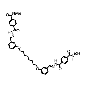 CNC(=O)c1ccc(C(=O)N/N=C/c2cccc(OCCCCCCCCOc3cccc(/C=N/NC(=O)c4ccc(C(=O)NO)cc4)c3)c2)cc1